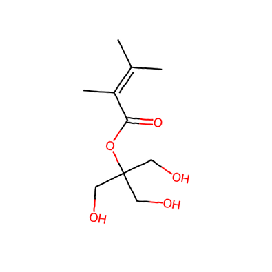 CC(C)=C(C)C(=O)OC(CO)(CO)CO